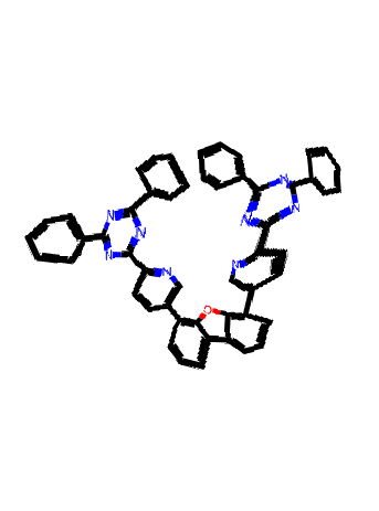 c1ccc(-c2nc(-c3ccccc3)nc(-c3ccc(-c4cccc5c4oc4c(-c6ccc(-c7nc(-c8ccccc8)nc(-c8ccccc8)n7)nc6)cccc45)cn3)n2)cc1